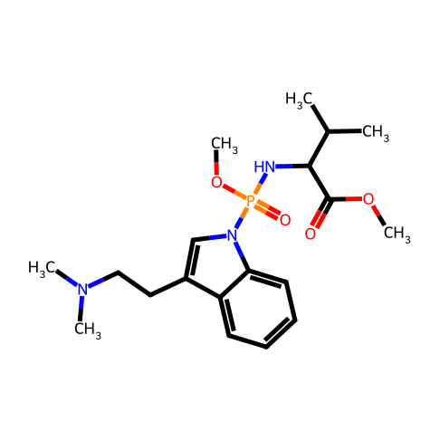 COC(=O)C(NP(=O)(OC)n1cc(CCN(C)C)c2ccccc21)C(C)C